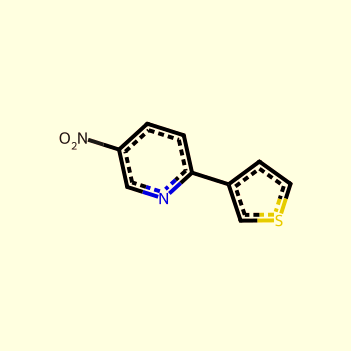 O=[N+]([O-])c1ccc(-c2ccsc2)nc1